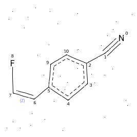 N#Cc1ccc(/C=C\F)cc1